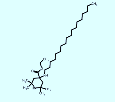 CCCCCCCCCCCCCCCCCCNC1(C(=O)OCC)CC(C)(C)NC(C)(C)C1